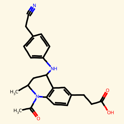 CC(=O)N1c2ccc(CCC(=O)O)cc2C(Nc2ccc(CC#N)cc2)CC1C